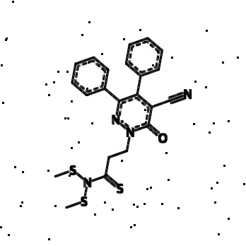 CSN(SC)C(=S)CCn1nc(-c2ccccc2)c(-c2ccccc2)c(C#N)c1=O